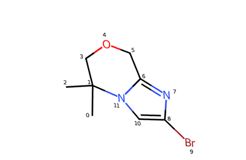 CC1(C)COCc2nc(Br)cn21